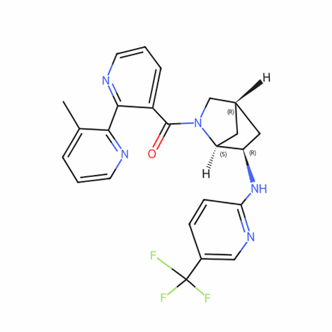 Cc1cccnc1-c1ncccc1C(=O)N1C[C@@H]2C[C@@H](Nc3ccc(C(F)(F)F)cn3)[C@@H]1C2